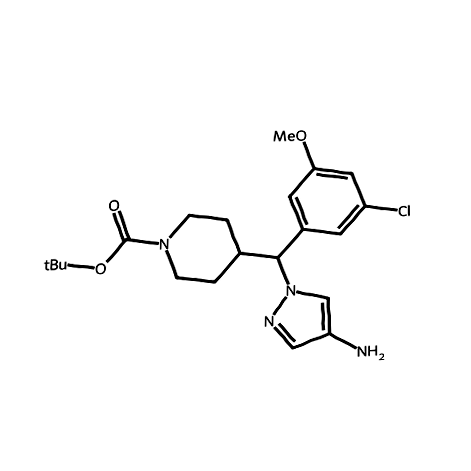 COc1cc(Cl)cc(C(C2CCN(C(=O)OC(C)(C)C)CC2)n2cc(N)cn2)c1